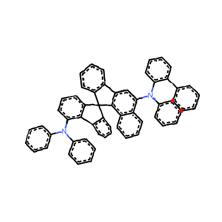 c1ccc(-c2ccccc2N(c2ccccc2)c2cc3c(c4ccccc24)C2(c4ccccc4-3)c3ccccc3-c3c(N(c4ccccc4)c4ccccc4)cccc32)cc1